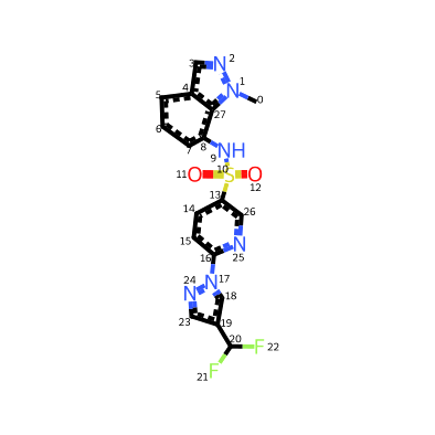 Cn1ncc2cccc(NS(=O)(=O)c3ccc(-n4cc(C(F)F)cn4)nc3)c21